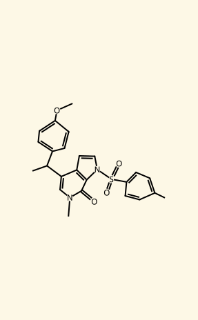 COc1ccc(C(C)c2cn(C)c(=O)c3c2ccn3S(=O)(=O)c2ccc(C)cc2)cc1